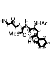 CSC(=O)[C@H](CCC(=O)C=N)NC(=O)[C@H](Cc1c[nH]c2ccccc12)NC(C)=O